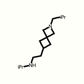 CC(C)CN1CC2(CC(CCNC(C)C)C2)C1